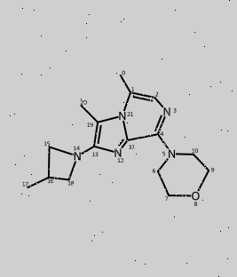 Cc1cnc(N2CCOCC2)c2nc(N3CC(C)C3)c(C)n12